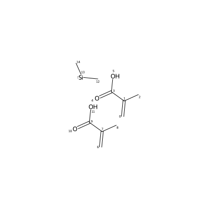 C=C(C)C(=O)O.C=C(C)C(=O)O.C[Si]C